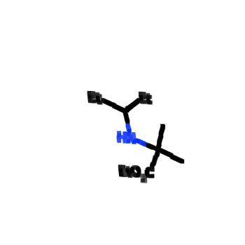 CCOC(=O)C(C)(C)NC(CC)CC